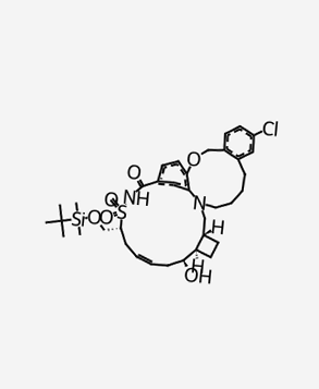 CC(C)(C)[Si](C)(C)OC[C@H]1C/C=C\C[C@H](O)[C@@H]2CC[C@H]2CN2CCCCc3cc(Cl)ccc3COc3ccc(cc32)C(=O)NS1(=O)=O